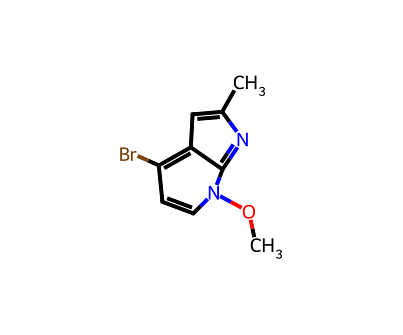 COn1ccc(Br)c2cc(C)nc1-2